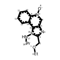 CCOCc1nc2c[n+]([O-])c3ccccc3c2n1NC(C)C